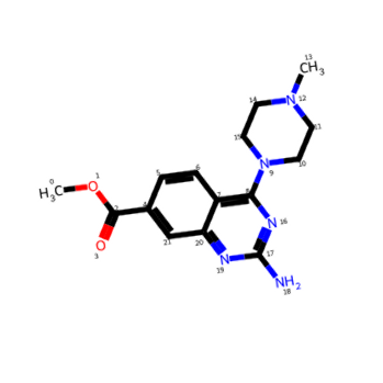 COC(=O)c1ccc2c(N3CCN(C)CC3)nc(N)nc2c1